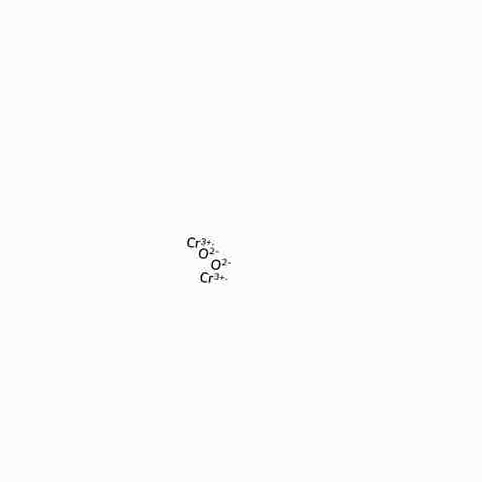 [Cr+3].[Cr+3].[O-2].[O-2]